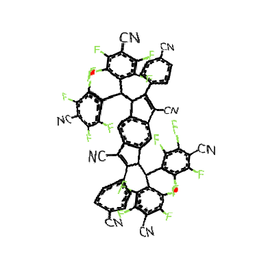 N#CC1=C(c2ccc(C#N)cc2)C(C(c2c(F)c(F)c(C#N)c(F)c2F)c2c(F)c(F)c(C#N)c(F)c2F)c2cc3c(cc21)C(C(c1c(F)c(F)c(C#N)c(F)c1F)c1c(F)c(F)c(C#N)c(F)c1F)C(c1ccc(C#N)cc1)=C3C#N